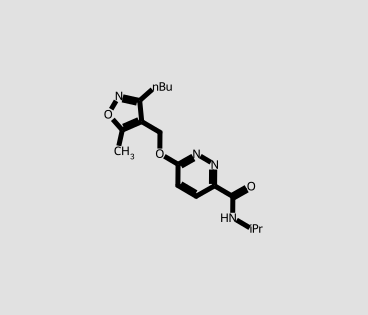 CCCCc1noc(C)c1COc1ccc(C(=O)NC(C)C)nn1